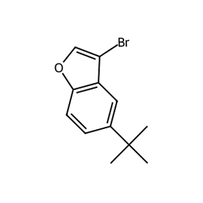 CC(C)(C)c1ccc2occ(Br)c2c1